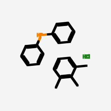 Cc1cccc(C)c1C.Cl.c1ccc(Pc2ccccc2)cc1